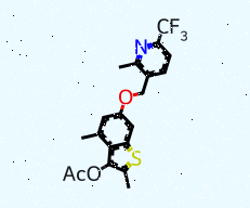 CC(=O)Oc1c(C)sc2cc(OCc3ccc(C(F)(F)F)nc3C)cc(C)c12